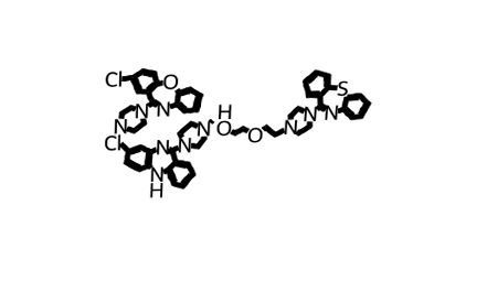 CN1CCN(C2=Nc3cc(Cl)ccc3Nc3ccccc32)CC1.CN1CCN(C2=Nc3ccccc3Oc3ccc(Cl)cc32)CC1.OCCOCCN1CCN(C2=Nc3ccccc3Sc3ccccc32)CC1